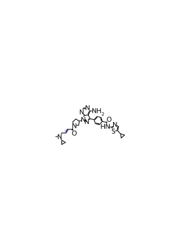 CN(C/C=C/C(=O)N1CCC(n2nc(-c3ccc(C(=O)Nc4ncc(C5CC5)s4)cc3)c3c(N)ncnc32)C1)C1CC1